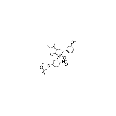 CCN(C)c1cc(-c2cccc(OC)c2)nn(-c2cc(N3CCOC(=O)C3)ccc2[N+](=O)[O-])c1=O